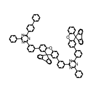 c1ccc(-c2ccc(-c3nc(-c4ccccc4)nc(-c4cccc(-c5ccc6c(c5)C5(c7cc(-c8cccc(-c9nc(-c%10ccccc%10)nc(-c%10cccc(-c%11ccc%12c(c%11)C%11(c%13ccccc%13O%12)c%12ccccc%12-c%12ccccc%12%11)c%10)n9)c8)ccc7O6)c6ccccc6-c6ccccc65)c4)n3)cc2)cc1